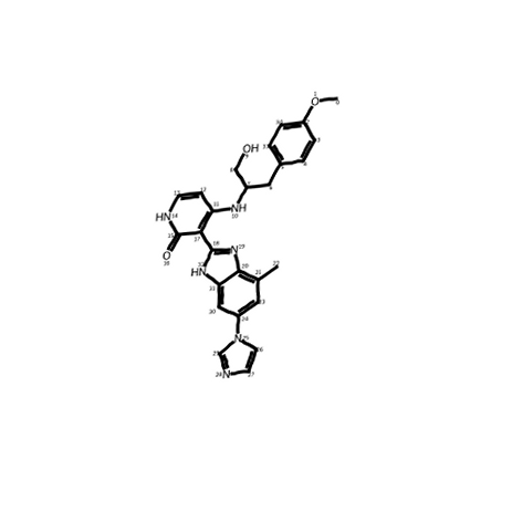 COc1ccc(CC(CO)Nc2cc[nH]c(=O)c2-c2nc3c(C)cc(-n4ccnc4)cc3[nH]2)cc1